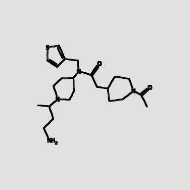 CC(=O)N1CCC(CC(=O)N(Cc2ccsc2)C2CCN(C(C)CCN)CC2)CC1